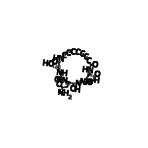 CC(O)[C@H]1NC(=O)CCCCCCCNC(=O)[C@@H](CO)NC(=O)N[C@H](CC(N)=O)C(=O)NNC1=O